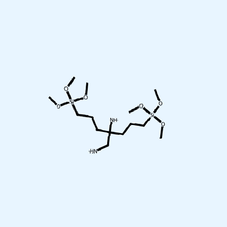 CO[Si](CCCC([NH])(C[NH])CCC[Si](OC)(OC)OC)(OC)OC